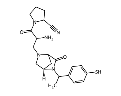 CC(c1ccc(S)cc1)N1C(=O)C2C[C@H]1CN2CC(N)C(=O)N1CCCC1C#N